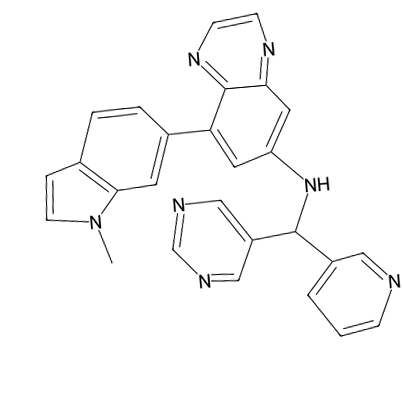 Cn1ccc2ccc(-c3cc(NC(c4cccnc4)c4cncnc4)cc4nccnc34)cc21